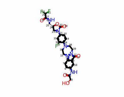 O=C(CO)Nc1ccc2c(c1)c(=O)n1n2CCN(c2ccc(N3C[C@H](CNC(=O)C(F)F)OC3=O)cc2F)CC1